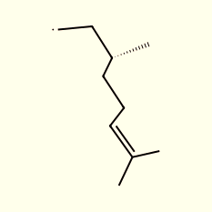 [CH2]C[C@H](C)CCC=C(C)C